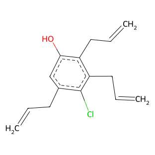 C=CCc1cc(O)c(CC=C)c(CC=C)c1Cl